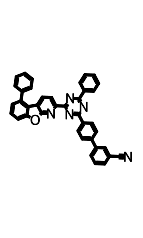 N#Cc1cccc(-c2ccc(-c3nc(-c4ccccc4)nc(-c4ccc5c(n4)oc4cccc(-c6ccccc6)c45)n3)cc2)c1